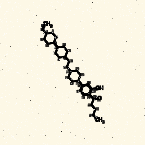 C=CC1CCC(C2CCC(CCC3CCC(c4ccc(C(=O)CCCC)c(O)c4)CC3)CC2)CC1